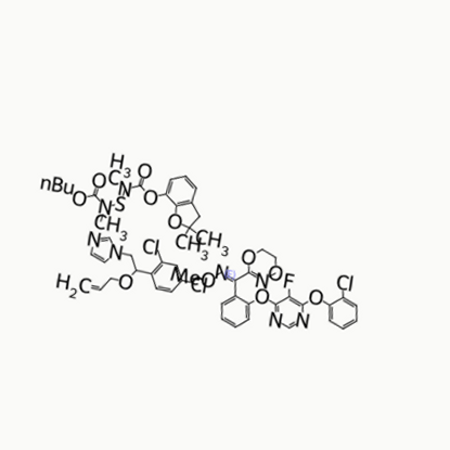 C=CCOC(Cn1ccnc1)c1ccc(Cl)cc1Cl.CCCCOC(=O)N(C)SN(C)C(=O)Oc1cccc2c1OC(C)(C)C2.CO/N=C(/C1=NOCCO1)c1ccccc1Oc1ncnc(Oc2ccccc2Cl)c1F